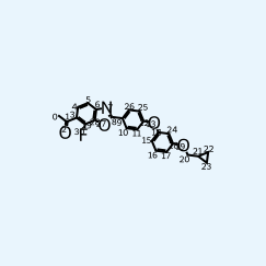 CC(=O)c1ccc2nc(-c3ccc(Oc4cccc(OCC5CC5)c4)cc3)oc2c1F